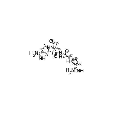 N=C(N)c1cccc(C[C@]2(C(=O)NCC(=O)NCc3ccc(C(=N)N)s3)CCC(=O)N2)c1